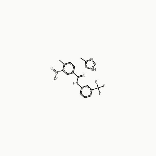 Cc1c[nH]cn1.Cc1ccc(C(=O)Nc2cccc(C(F)(F)F)c2)cc1[N+](=O)[O-]